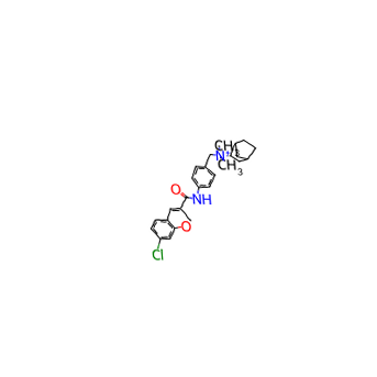 C[N+](C)(Cc1ccc(NC(=O)C2=Cc3ccc(Cl)cc3OC2)cc1)[C@H]1CC2CCC1C2